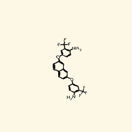 Nc1ccc(Oc2ccc3ccc(Oc4ccc(N)c(C(F)(F)F)c4)cc3c2)cc1C(F)(F)F